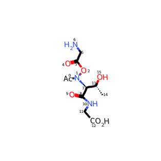 CC(=O)N(OC(=O)CN)[C@H](C(=O)NCC(=O)O)[C@@H](C)O